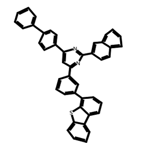 c1ccc(-c2ccc(-c3cc(-c4cccc(-c5cccc6c5sc5ccccc56)c4)nc(-c4ccc5ccccc5c4)n3)cc2)cc1